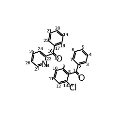 O=C(c1ccccc1)c1ccccc1Cl.O=C(c1ccccc1)c1ccccn1